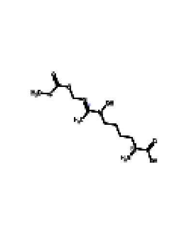 CSC(=O)OC/N=C(\C)N(O)CCCC[C@H](N)C(=O)O